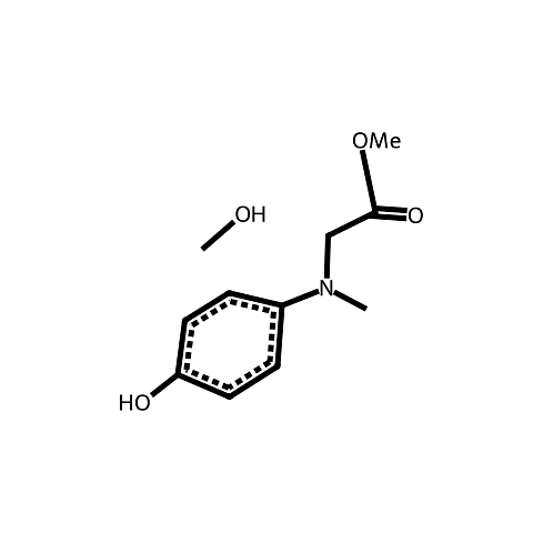 CO.COC(=O)CN(C)c1ccc(O)cc1